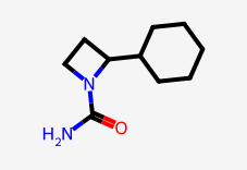 NC(=O)N1CCC1C1CCCCC1